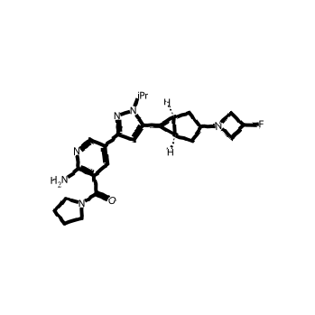 CC(C)n1nc(-c2cnc(N)c(C(=O)N3CCCC3)c2)cc1C1[C@H]2CC(N3CC(F)C3)C[C@@H]12